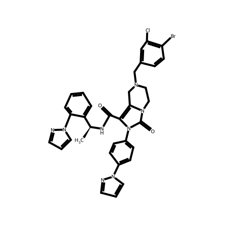 C[C@H](NC(=O)c1c2n(c(=O)n1-c1ccc(-n3cccn3)cc1)CCN(Cc1ccc(Br)c(Cl)c1)C2)c1ccccc1-n1cccn1